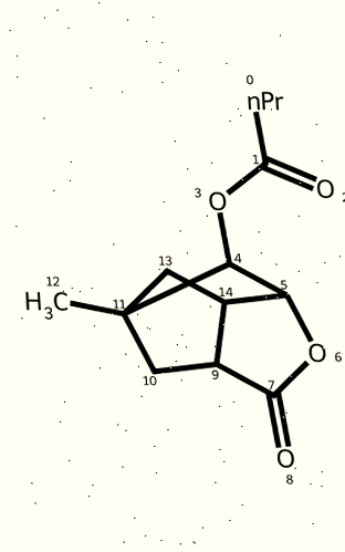 CCCC(=O)OC1C2OC(=O)C3CC1(C)CC32